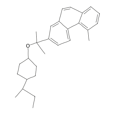 CCC(C)C1CCC(OC(C)(C)c2ccc3c(ccc4cccc(C)c43)c2)CC1